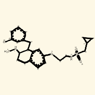 CNC1CCc2ccc(OCCNS(=O)(=O)CC3CC3)cc2C1Cc1cccc(Cl)c1